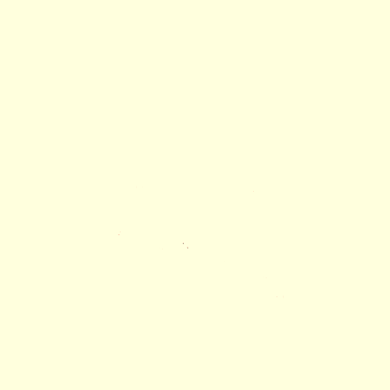 COC(=O)c1ccc(C)c(-n2c(COC(C)=O)cc(OCc3ccc(F)cc3F)c(Br)c2=O)c1